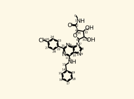 CNC(=O)[C@@H]1OC(n2cnc3c(NCc4ccccc4)nc(-c4ccc(Cl)cc4)nc32)C(O)C1O